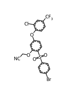 N#CCOc1cc(Oc2ccc(C(F)(F)F)cc2Cl)ccc1S(=O)(=O)c1ccc(Br)cc1